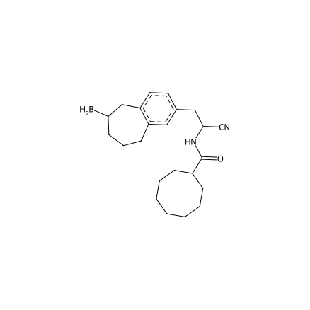 BC1CCCc2cc(CC(C#N)NC(=O)C3CCCCCCC3)ccc2C1